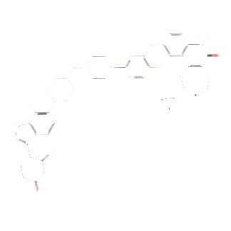 Cc1c(C2CCN(CC3CCN(c4ncc(Cl)c(Nc5ccc6c(c5)c5c(c(=O)n6C)OCC(F)(F)[C@H](C6CC6)N5)n4)CC3)CC2)ccc2c(C3CCC(=O)NC3=O)nn(C)c12